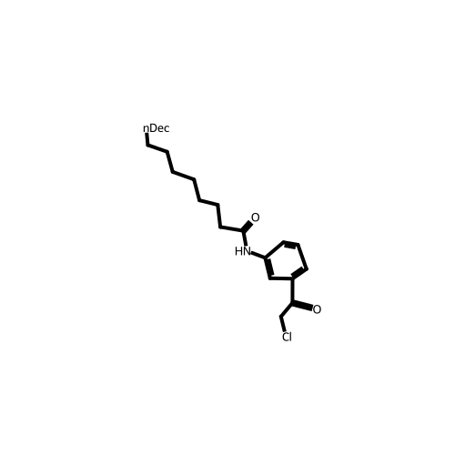 CCCCCCCCCCCCCCCCCC(=O)Nc1cccc(C(=O)CCl)c1